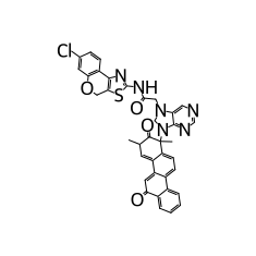 CC1C=c2c(ccc3c2=CC(=O)c2ccccc2-3)C(C)(N2CN(CC(=O)Nc3nc4c(s3)COc3cc(Cl)ccc3-4)c3cncnc32)C1=O